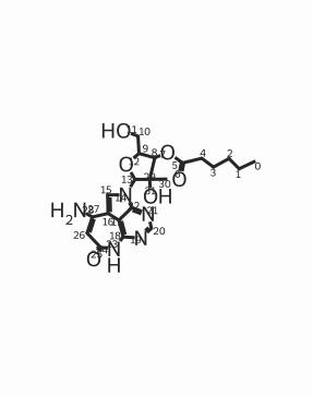 CCCCCC(=O)OC1C(CO)OC(n2cc3c4c(ncnc42)NC(=O)C=C3N)C1(C)O